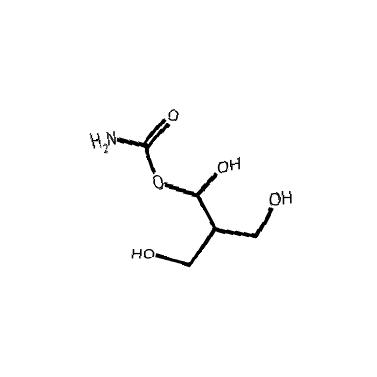 NC(=O)OC(O)C(CO)CO